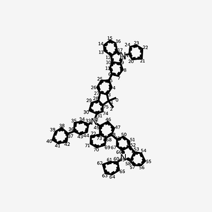 CC1(C)c2cc(-c3ccc4c(c3)c3ccccc3n4-c3ccccc3)ccc2-c2ccc(N(c3ccc(-c4ccccc4)cc3)c3ccc(-c4ccc5c6ccccc6n(-c6ccccc6)c5c4)c4ccccc34)cc21